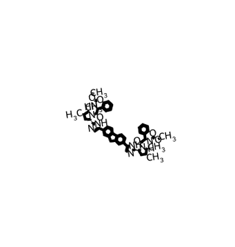 COC(=O)N[C@@H](C(=O)N1[C@H](C)[C@H](C)C[C@H]1c1ncc(-c2ccc3c(c2)Cc2cc(-c4cnc([C@@H]5C[C@@H](C)[C@@H](C)N5C(=O)[C@H](NC(=O)OC)c5ccccc5)[nH]4)ccc2-3)[nH]1)c1ccccc1